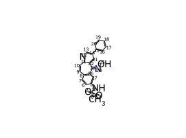 CS(=O)(=O)Nc1ccc2ccc3ncc(-c4ccccc4)cc3/c(=N\O)c2c1